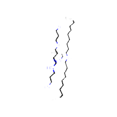 CCCCCCCCCCCCCCCCCCNCCCCCCCCCCCCCCCCCC.NCC(=O)O.NCCCNCCCCNCCCN